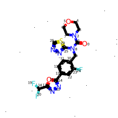 O=C(N1CCOCC1)N(Cc1ccc(-c2nnc(C(F)F)o2)cc1F)c1nncs1